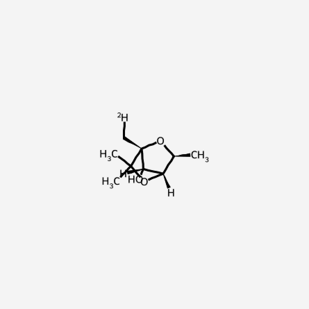 [2H]C[C@]12O[C@@H](C)[C@H](OC1(C)C)[C@@H]2O